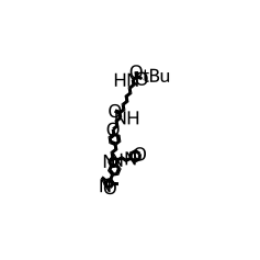 Cc1noc(C)c1-c1ccc2c(c1)nc(CCc1ccc(OCCNC(=O)CCCCCCCNC(=O)OC(C)(C)C)cc1)n2CCN1CCOCC1